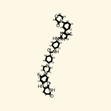 O=C1CCC(Nc2ccc(N3CCN([C@H]4CC[C@H](C(=O)N[C@H]5CC[C@H](Nc6ncc(F)c(-c7cccc(N8CCOCC8=O)c7)n6)CC5)CC4)CC3)c(F)c2)C(=O)N1